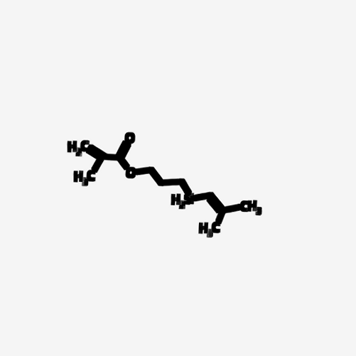 C=C(C)C(=O)OCCC[SiH2]C=C(C)C